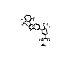 Cc1ccc(C(=O)NC2CC2)cc1-c1ccn2c(-c3c(F)cccc3C(F)(F)F)nnc2c1